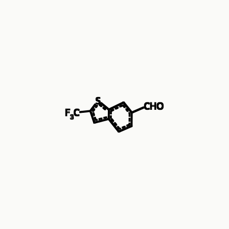 O=Cc1ccc2cc(C(F)(F)F)sc2c1